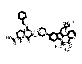 CCn1c(-c2cccnc2[C@H](C)OC)c(CC(C)(C)CO)c2cc(N3CCO[C@@H](C[C@H](NC(=O)OCc4ccccc4)C(=O)N4CCC[C@@H](C(=O)O)N4)C3)ccc21